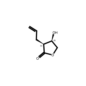 C=CC[C@@H]1C(=O)OC[C@@H]1O